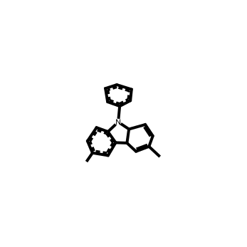 CC1=CC2c3cc(C)ccc3N(c3ccccc3)C2C=C1